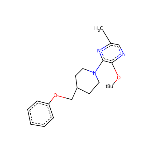 Cc1cnc(OC(C)(C)C)c(N2CCC(COc3ccccc3)CC2)n1